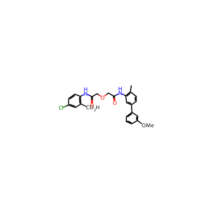 COc1cccc(-c2ccc(C)c(NC(=O)COCC(=O)Nc3ccc(Cl)cc3C(=O)O)c2)c1